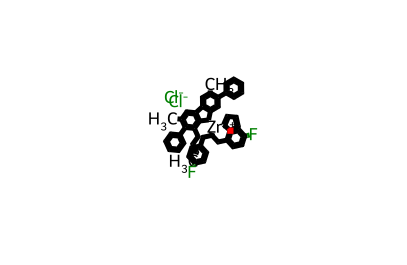 CCCCc1c(-c2ccccc2)c(C)cc2c1[CH]([Zr+2]([C]1=CC=CC1)=[C](Cc1ccc(F)cc1)Cc1ccc(F)cc1)c1cc(-c3ccccc3)c(C)cc1-2.[Cl-].[Cl-]